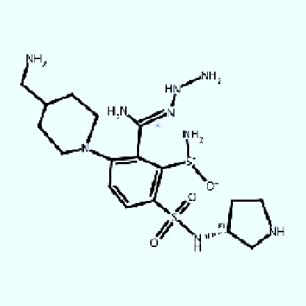 NCC1CCN(c2ccc(S(=O)(=O)N[C@@H]3CCNC3)c([S+](N)[O-])c2/C(N)=N/NN)CC1